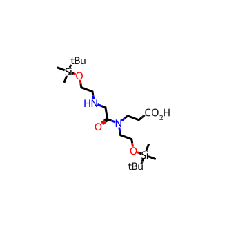 CC(C)(C)[Si](C)(C)OCCNCC(=O)N(CCO[Si](C)(C)C(C)(C)C)CCC(=O)O